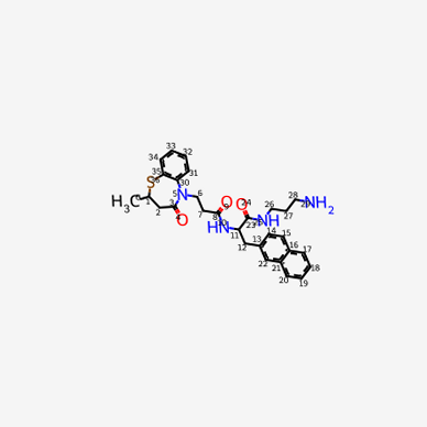 CC1CC(=O)N(CCC(=O)NC(Cc2ccc3ccccc3c2)C(=O)NCCCN)c2ccccc2S1